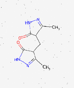 CC1=NNC(=O)C1CC1C(=O)NN=C1C